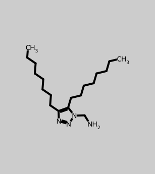 CCCCCCCCc1nnn(CN)c1CCCCCCCC